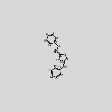 c1ccc(C/N=C2\CCN(Cc3ccccc3)C2)cc1